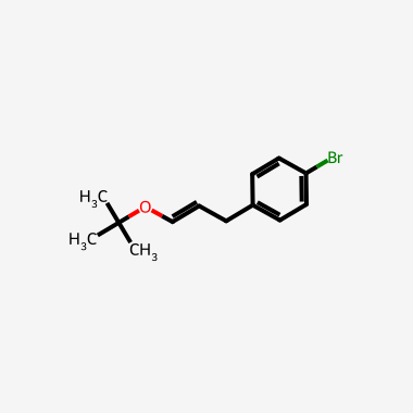 CC(C)(C)O/C=C/Cc1ccc(Br)cc1